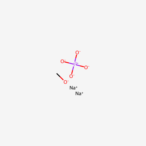 C[O-].[Na+].[Na+].[O-][I+3]([O-])([O-])[O-]